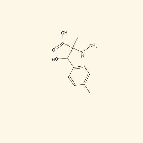 Cc1ccc(C(O)C(C)(NN)C(=O)O)cc1